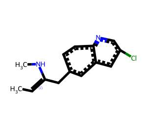 C/C=C(/Cc1ccc2ncc(Cl)cc2c1)NC